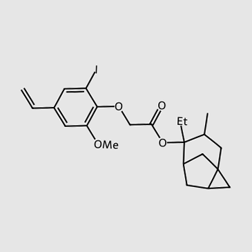 C=Cc1cc(I)c(OCC(=O)OC2(CC)C(C)CC34CC3CC2C4)c(OC)c1